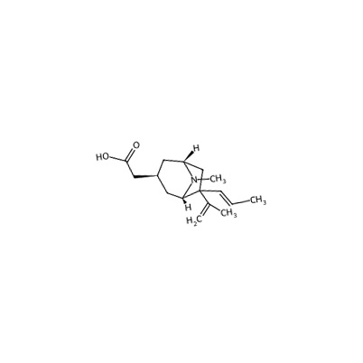 C=C(C)C1(/C=C/C)C[C@H]2C[C@H](CC(=O)O)C[C@@H]1N2C